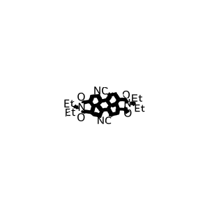 CCC(CC)N1C(=O)c2ccc3c4c(C#N)cc5c6c(cc(C#N)c(c7ccc(c2c37)C1=O)c64)C(=O)N(C(CC)CC)C5=O